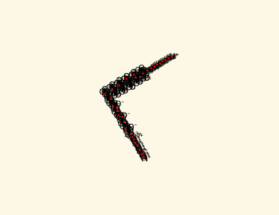 O=P([O-])([O-])OP(=O)([O-])OP(=O)([O-])[O-].O=P([O-])([O-])OP(=O)([O-])OP(=O)([O-])[O-].O=P([O-])([O-])OP(=O)([O-])OP(=O)([O-])[O-].O=P([O-])([O-])OP(=O)([O-])OP(=O)([O-])[O-].O=P([O-])([O-])OP(=O)([O-])OP(=O)([O-])[O-].O=P([O-])([O-])OP(=O)([O-])OP(=O)([O-])[O-].O=P([O-])([O-])OP(=O)([O-])OP(=O)([O-])[O-].O=P([O-])([O-])OP(=O)([O-])OP(=O)([O-])[O-].O=P([O-])([O-])OP(=O)([O-])OP(=O)([O-])[O-].[Al+3].[Al+3].[Al+3].[Al+3].[Al+3].[H+].[H+].[H+].[H+].[H+].[H+].[H+].[H+].[H+].[H+].[H+].[H+].[H+].[H+].[H+].[H+].[H+].[H+].[H+].[H+].[H+].[H+].[H+].[H+].[H+].[H+].[H+].[H+].[H+].[H+]